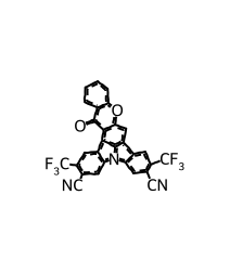 N#Cc1cc2c(cc1C(F)(F)F)c1cc3oc4ccccc4c(=O)c3c3c4cc(C(F)(F)F)c(C#N)cc4n2c13